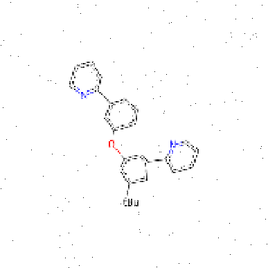 CC(C)(C)c1cc(Oc2cccc(-c3ccccn3)c2)cc(-c2ccccn2)c1